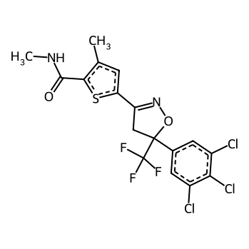 CNC(=O)c1sc(C2=NOC(c3cc(Cl)c(Cl)c(Cl)c3)(C(F)(F)F)C2)cc1C